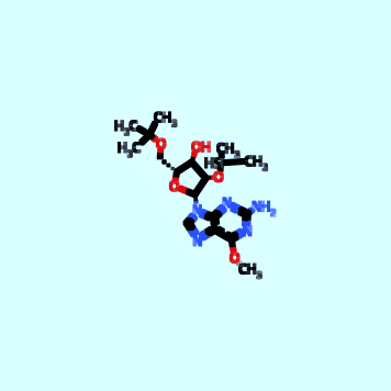 COc1nc(N)nc2c1ncn2[C@@H]1O[C@H](COC(C)(C)C)[C@@H](O)[C@@H]1O[SiH](C)C